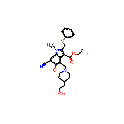 CCOC(=O)c1c(CSc2ccccc2)n(C)c2cc(C#N)c(O)c(CN3CCC(CCO)CC3)c12